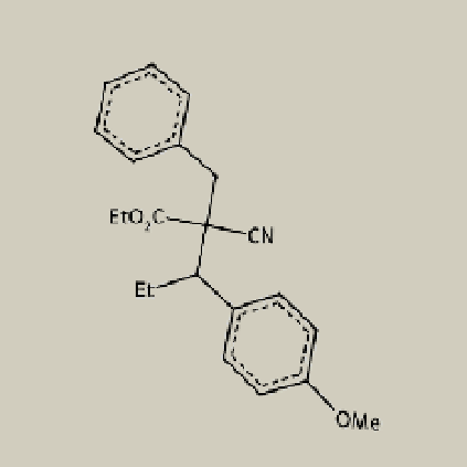 CCOC(=O)C(C#N)(Cc1ccccc1)C(CC)c1ccc(OC)cc1